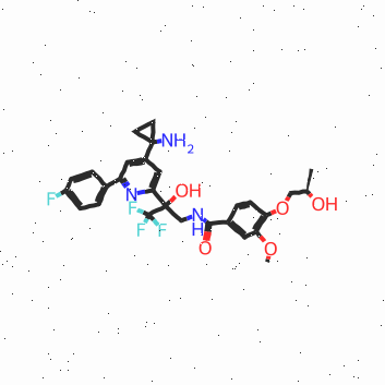 COc1cc(C(=O)NCC(O)(c2cc(C3(N)CC3)cc(-c3ccc(F)cc3)n2)C(F)(F)F)ccc1OC[C@@H](C)O